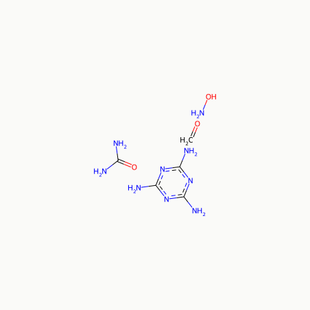 C=O.NC(N)=O.NO.Nc1nc(N)nc(N)n1